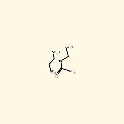 N=C(N)NCC(=O)O.NCCS(=O)(=O)O